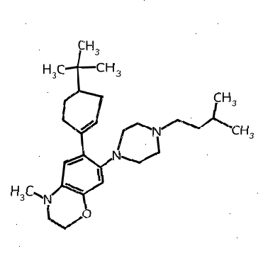 CC(C)CCN1CCN(c2cc3c(cc2C2=CCC(C(C)(C)C)CC2)N(C)CCO3)CC1